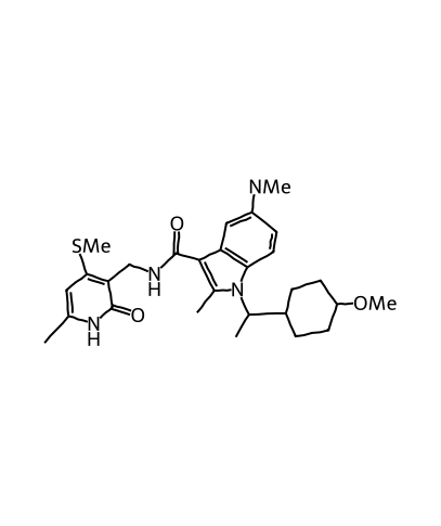 CNc1ccc2c(c1)c(C(=O)NCc1c(SC)cc(C)[nH]c1=O)c(C)n2C(C)C1CCC(OC)CC1